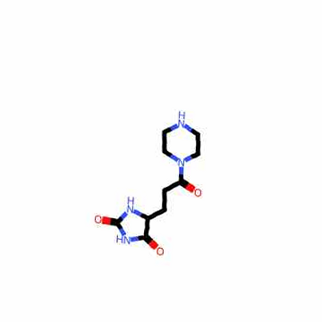 O=C1NC(=O)C(CCC(=O)N2CCNCC2)N1